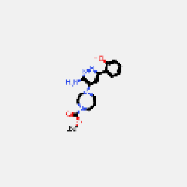 CC(C)(C)OC(=O)N1CCCN(c2cc(-c3ccccc3O)nnc2N)CC1